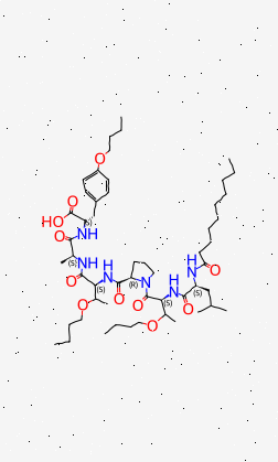 CCCCCCCCCC(=O)N[C@@H](CC(C)C)C(=O)N[C@H](C(=O)N1CCC[C@@H]1C(=O)N[C@H](C(=O)N[C@@H](C)C(=O)N[C@@H](Cc1ccc(OCCCC)cc1)C(=O)O)C(C)OCCCC)C(C)OCCCC